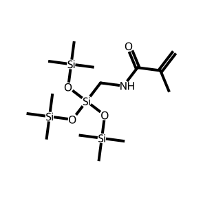 C=C(C)C(=O)NC[Si](O[Si](C)(C)C)(O[Si](C)(C)C)O[Si](C)(C)C